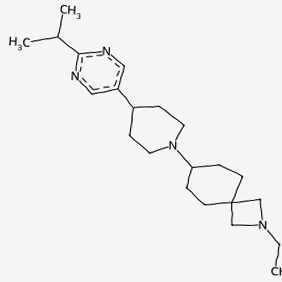 CCN1CC2(CCC(N3CCC(c4cnc(C(C)C)nc4)CC3)CC2)C1